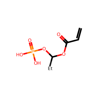 C=CC(=O)OC(CC)OP(=O)(O)O